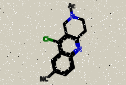 CC(=O)N1CCc2nc3ccc(C#N)cc3c(Cl)c2C1